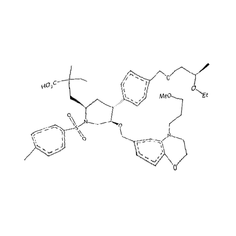 CCO[C@H](C)COCc1ccc([C@H]2C[C@H](CC(C)(C)C(=O)O)N(S(=O)(=O)c3ccc(C)cc3)C[C@@H]2OCc2ccc3c(c2)N(CCCOC)CCO3)cc1